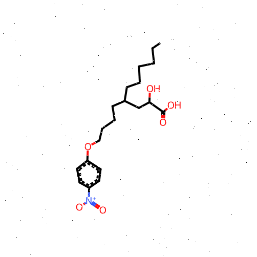 CCCCCCC(CCCCOc1ccc([N+](=O)[O-])cc1)CC(O)C(=O)O